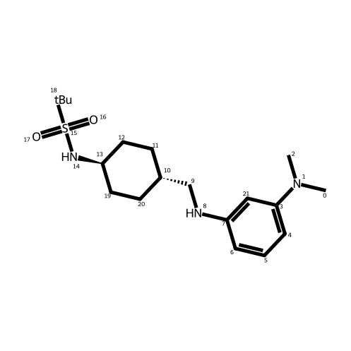 CN(C)c1cccc(NC[C@H]2CC[C@H](NS(=O)(=O)C(C)(C)C)CC2)c1